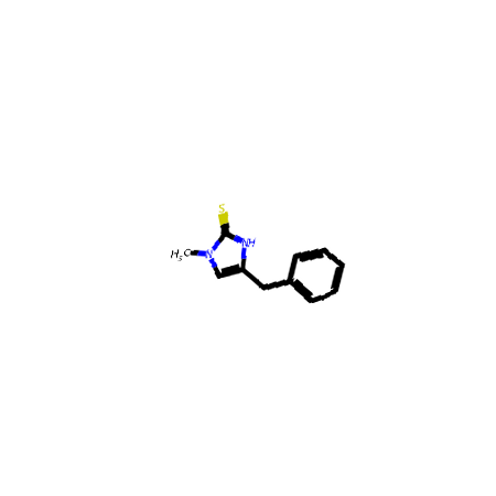 Cn1cc(Cc2ccccc2)[nH]c1=S